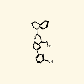 N#C/N=C1/CC(C2CCCc3ccccc32)Oc2ccc(-c3cccc(C#N)c3)cc21